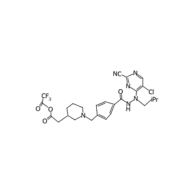 CC(C)CN(NC(=O)c1ccc(CN2CCCC(CC(=O)OC(=O)C(F)(F)F)C2)cc1)c1nc(C#N)ncc1Cl